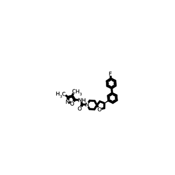 Cc1noc(NC(=O)N2CCC3(CC2)C[C@@H](c2cccc(-c4ccc(F)cc4)c2)CO3)c1C